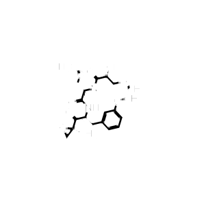 COC[C@H](NC(=O)[C@@H](C)COC)C(=O)N[C@@H](Cc1cccc(OC)c1)C(=O)[C@@]1(C)CO1